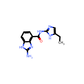 CCc1cnc(NC(=O)c2cccc3[nH]c(N)nc23)[nH]1